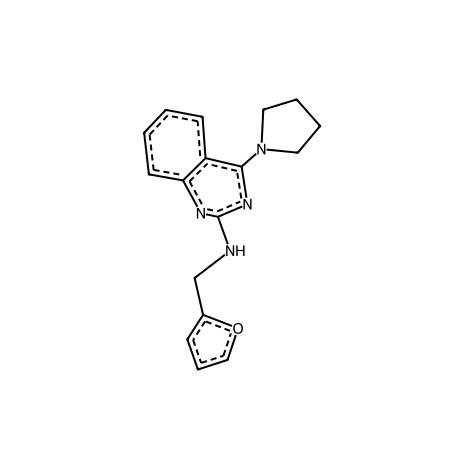 c1coc(CNc2nc(N3CCCC3)c3ccccc3n2)c1